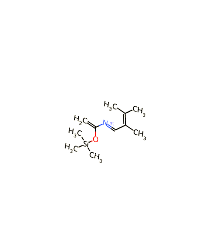 C=C(/N=C/C(C)=C(C)C)O[Si](C)(C)C